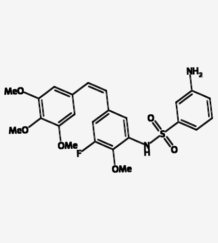 COc1cc(/C=C\c2cc(F)c(OC)c(NS(=O)(=O)c3cccc(N)c3)c2)cc(OC)c1OC